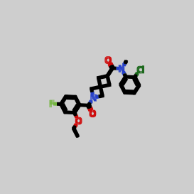 CCOc1cc(F)ccc1C(=O)N1CC2(CC(C(=O)N(C)c3ccccc3Cl)C2)C1